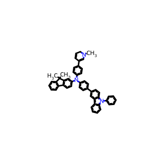 CN1C=C(c2ccc(N(c3ccc(-c4ccc5c(c4)c4ccccc4n5-c4ccccc4)cc3)c3ccc4c(c3)C(C)(C)c3ccccc3-4)cc2)C=CC1